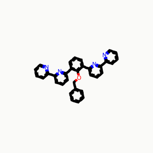 c1ccc(COc2c(-c3cccc(-c4ccccn4)n3)cccc2-c2cccc(-c3ccccn3)n2)cc1